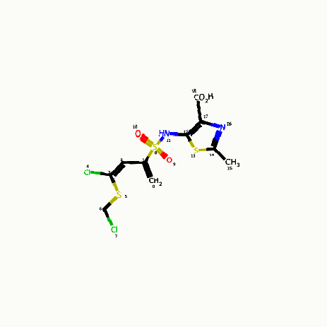 C=C(/C=C(/Cl)SCCl)S(=O)(=O)Nc1sc(C)nc1C(=O)O